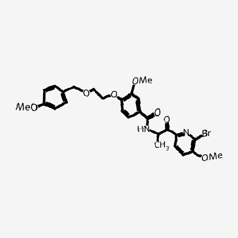 COc1ccc(COCCOc2ccc(C(=O)NC(C)C(=O)c3ccc(OC)c(Br)n3)cc2OC)cc1